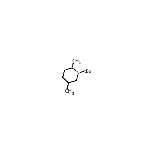 C[C@H]1CC[C@@H](C)N(C(C)(C)C)C1